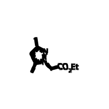 CCOC(=O)Cn1nc(C)cc1C